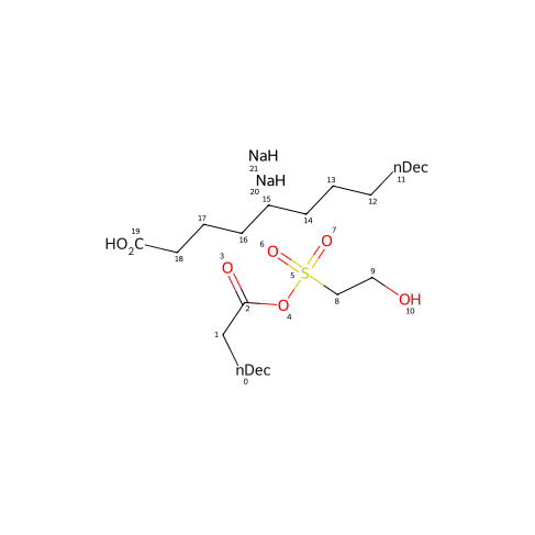 CCCCCCCCCCCC(=O)OS(=O)(=O)CCO.CCCCCCCCCCCCCCCCCC(=O)O.[NaH].[NaH]